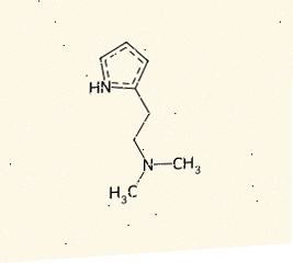 CN(C)CCc1ccc[nH]1